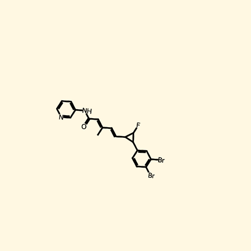 CC(/C=C/C1C(F)C1c1ccc(Br)c(Br)c1)=C\C(=O)Nc1cccnc1